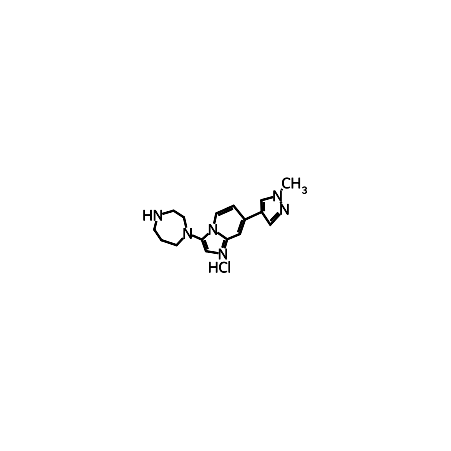 Cl.Cn1cc(-c2ccn3c(N4CCCNCC4)cnc3c2)cn1